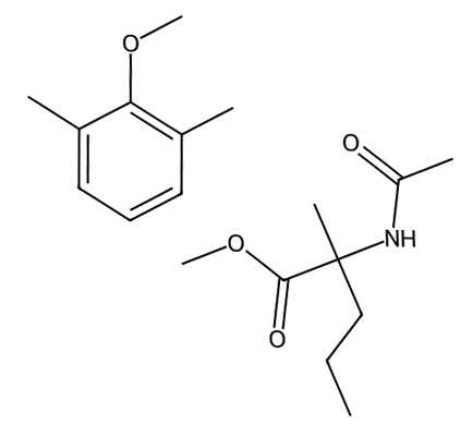 CCCC(C)(NC(C)=O)C(=O)OC.COc1c(C)cccc1C